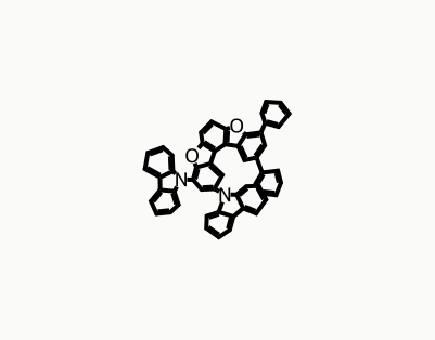 c1ccc(-c2cc(-c3ccccc3)c3oc4ccc5oc6c(-n7c8ccccc8c8ccccc87)cc(-n7c8ccccc8c8ccccc87)cc6c5c4c3c2)cc1